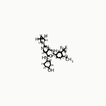 COc1ccc(CNc2nc(N3C[C@@H]4C[C@H]4C3)ncc2C(=O)NC2CCC(O)CC2)cc1C(F)(F)F